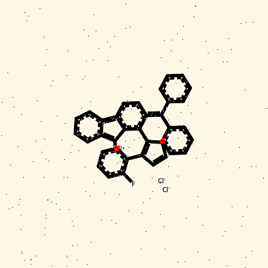 Fc1ccccc1C1=C(c2c3c(ccc2=C(c2ccccc2)c2ccccc2)=c2ccccc2=[C]3[Zr+2])CC=C1.[Cl-].[Cl-]